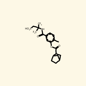 O=C(NC(CS(=O)(=O)O)(C(F)(F)F)C(F)(F)F)c1ccc(I)c(OC(=O)C2CC3CCC2C3)c1